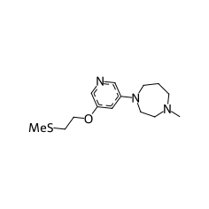 CSCCOc1cncc(N2CCCN(C)CC2)c1